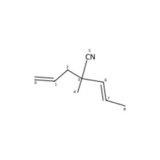 C=CCC(C)(C#N)C=CC